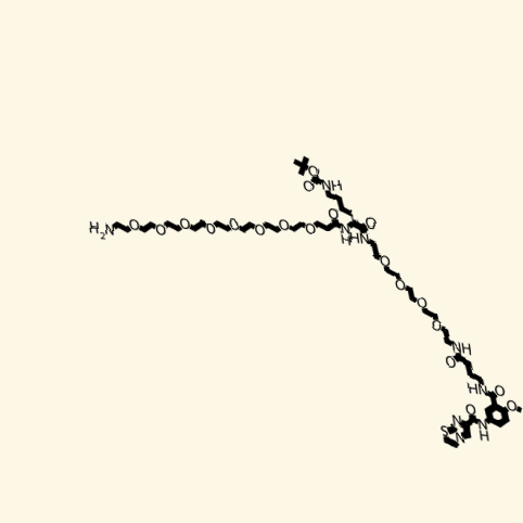 COc1ccc(NC(=O)c2cn3ccsc3n2)cc1C(=O)NCCCC(=O)NCCOCCOCCOCCOCCNC(=O)[C@@H](CCCCNC(=O)OC(C)(C)C)NC(=O)CCOCCOCCOCCOCCOCCOCCOCCOCCN